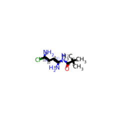 CC(C)(C)C(=O)N/C(N)=C/C=C(\N)Cl